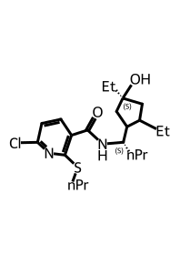 CCCSc1nc(Cl)ccc1C(=O)N[C@@H](CCC)C1C[C@](O)(CC)CC1CC